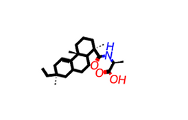 CC[C@@]1(C)CC=C2C(CCC3[C@](C)(C(=O)N[C@@H](C)C(=O)O)CCC[C@@]23C)C1